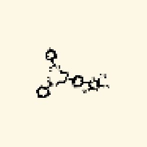 N#Cc1nc(C#N)c(-c2ccc(N(CCOC(=O)c3ccccc3)CCOC(=O)c3ccccc3)cc2)nc1C#N